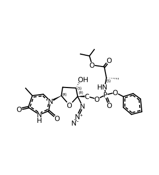 Cc1cn([C@H]2C[C@H](O)[C@](COP(=O)(N[C@@H](C)C(=O)OC(C)C)Oc3ccccc3)(N=[N+]=[N-])O2)c(=O)[nH]c1=O